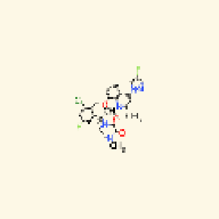 Cc1cc(-n2cc(F)cn2)c2cccc(OCc3c(Cl)cc(F)cc3[C@H](C)N3CCN(C)C(=O)C3=O)c2n1